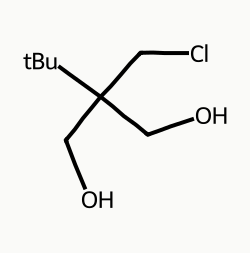 CC(C)(C)C(CO)(CO)CCl